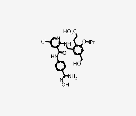 CC(C)Oc1cc(CO)cc(CNc2ncc(Cl)cc2C(=O)Nc2ccc(/C(N)=N/O)cc2)c1CCC(=O)O